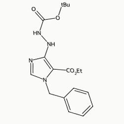 CCOC(=O)c1c(NNC(=O)OC(C)(C)C)ncn1Cc1ccccc1